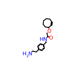 NCCc1ccc(CNC(=O)COC2C#CCCCCC2)cc1